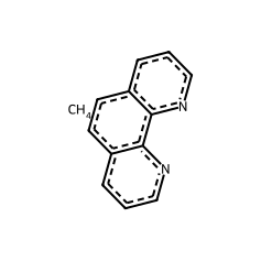 C.c1cnc2c(c1)ccc1cccnc12